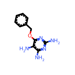 Nc1nc(N)c(N)c(OCc2ccccc2)n1